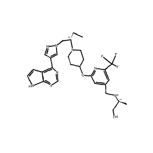 CC[C@@H](Cn1cc(-c2ncnc3[nH]ccc23)cn1)N1CCC(Oc2cc(CN[C@@H](C)CO)cc(C(F)(F)F)n2)CC1